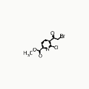 COC(=O)c1ccc(C(=O)CBr)c(Cl)n1